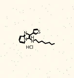 CCCCCCCNc1c(-c2ccsc2)nc2ccccn12.Cl